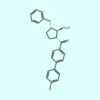 O=C(O)[C@@H]1[C@@H](Sc2ccccc2)CC[C@H]1C(=O)c1ccc(-c2ccc(Cl)cc2)cc1